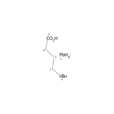 CCCCCCCC(=O)O.[PbH2]